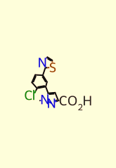 Cn1nc(C(=O)O)cc1-c1cc(-c2nccs2)ccc1Cl